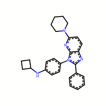 c1ccc(-c2nc3ccc(N4CCCCC4)nc3n2-c2ccc(NC3CCC3)cc2)cc1